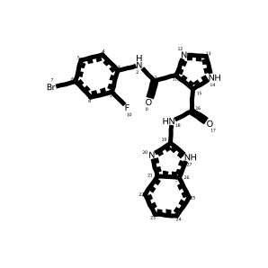 O=C(Nc1ccc(Br)cc1F)c1nc[nH]c1C(=O)Nc1nc2ccccc2[nH]1